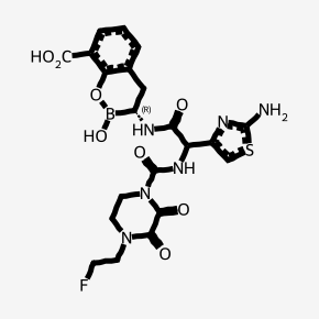 Nc1nc(C(NC(=O)N2CCN(CCF)C(=O)C2=O)C(=O)N[C@H]2Cc3cccc(C(=O)O)c3OB2O)cs1